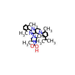 Cc1ccc(C(C)C)cc1N1CCc2nc(-c3c(C)cccc3C)nc(N3CC(C)N(C(=O)O)CC3C)c2C1